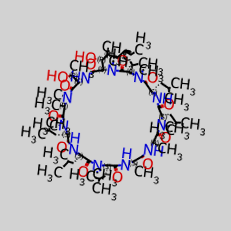 CC=CC[C@@H](C)[C@@H](O)[C@H]1C(=O)N[C@@H]([C@@H](C)O)C(=O)N(C)[C@H](C)C(=O)N(C)[C@@H](CC(C)C)C(=O)N[C@@H](CC(C)C)C(=O)N(C)[C@@H](CC(C)C)C(=O)N[C@@H](C)C(=O)N[C@H](C)C(=O)N(C)[C@@H](CC(C)C)C(=O)N[C@@H](CC(C)C)C(=O)N(C)[C@@H](C(C)C)C(=O)N1C